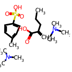 C=C(CCC)C(=O)O.CN(C)C.CN(C)C.Cc1ccc(S(=O)(=O)O)cc1